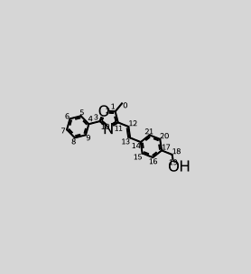 Cc1oc(-c2ccccc2)nc1C=Cc1ccc(CO)cc1